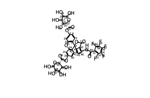 O=C1OC2(c3ccc(OC(=O)[C@H]4O[C@@H](O)[C@H](O)[C@@H](O)[C@@H]4O)cc3Oc3cc(OC(=O)[C@H]4O[C@@H](O)[C@H](O)[C@@H](O)[C@@H]4O)ccc32)c2cccc(NC(=O)c3c(F)c(F)c(F)c(F)c3F)c21